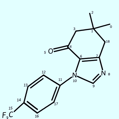 CC1(C)CC(=O)c2c(ncn2-c2ccc(C(F)(F)F)cc2)C1